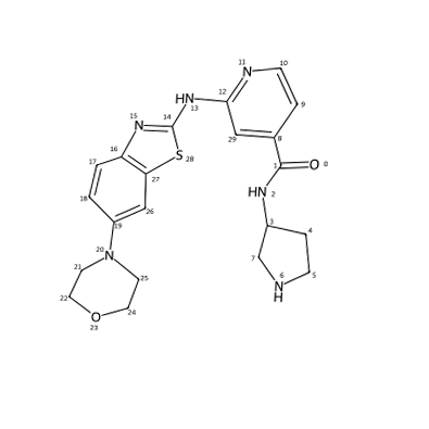 O=C(NC1CCNC1)c1ccnc(Nc2nc3ccc(N4CCOCC4)cc3s2)c1